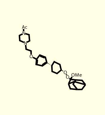 COC1(OO[C@H]2CC[C@@H](c3ccc(OCCN4CCN(C(C)=O)CC4)cc3)CC2)C2CC3CC(C2)CC1C3